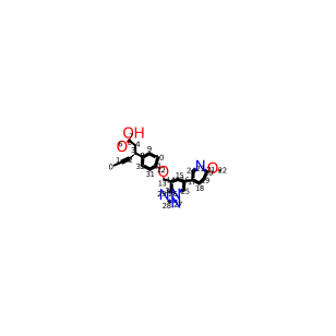 CC#C[C@@H](CC(=O)O)c1ccc(OCc2cc(-c3ccc(OC)nc3)cn3ncnc23)cc1